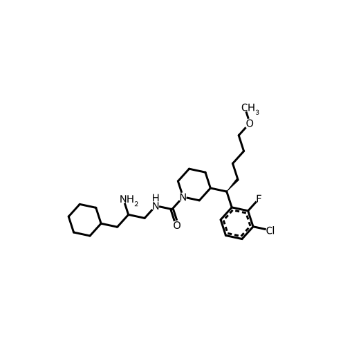 COCCCC[C@@H](c1cccc(Cl)c1F)C1CCCN(C(=O)NCC(N)CC2CCCCC2)C1